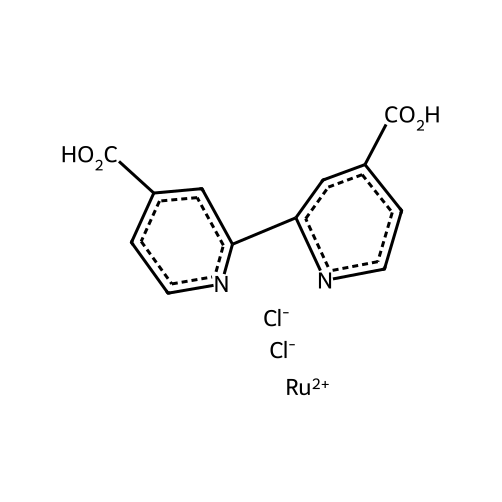 O=C(O)c1ccnc(-c2cc(C(=O)O)ccn2)c1.[Cl-].[Cl-].[Ru+2]